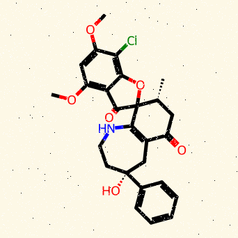 COc1cc(OC)c2c(c1Cl)OC1(C2=O)C2=C(C[C@@](O)(c3ccccc3)CCN2)C(=O)C[C@H]1C